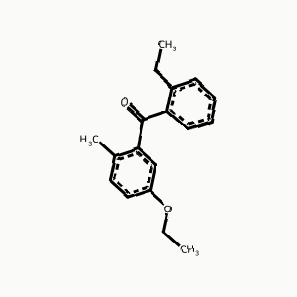 CCOc1ccc(C)c(C(=O)c2ccccc2CC)c1